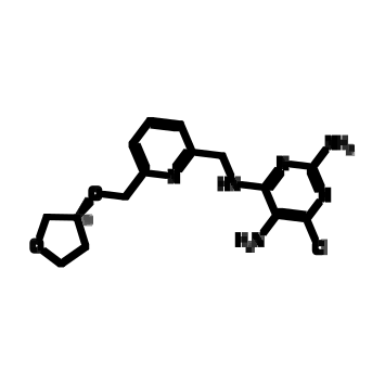 Nc1nc(Cl)c(N)c(NCc2cccc(CO[C@H]3CCOC3)n2)n1